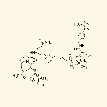 CC(=O)N1CC[C@H]2CC[C@@H](C(=O)N[C@@H](CCC(N)=O)COc3cccc(CCCCC(=O)N[C@H](C(=O)N4C[C@H](O)C[C@H]4C(=O)NCc4ccc(-c5scnc5C)cc4)C(C)(C)C)c3F)N2C(=O)[C@@H](NC(=O)OC(C)(C)C)C1